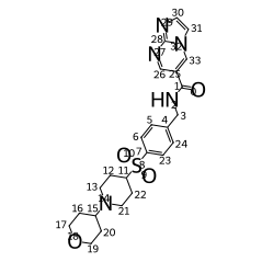 O=C(NCc1ccc(S(=O)(=O)C2CCN(C3CCOCC3)CC2)cc1)c1cnc2nccn2c1